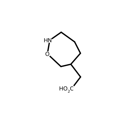 O=C(O)CC1CCCNOC1